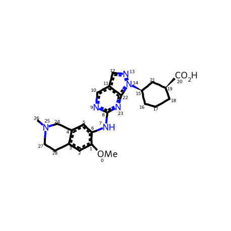 COc1cc2c(cc1Nc1ncc3cnn([C@@H]4CCC[C@H](C(=O)O)C4)c3n1)CN(C)CC2